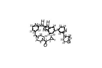 O=C(C1CC1)N1CCN(Cc2ccnc(Nc3nc4ccc(-c5ccnc(N6CCOCC6)c5)cc4[nH]3)c2)CC1